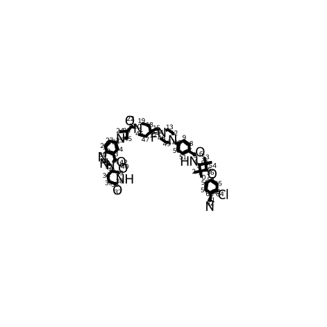 CC1(C)[C@H](NC(=O)c2ccc(N3CCN(CC4(F)CCN(C(=O)C5CN(c6ccc7nnn(C8CCC(=O)NC8=O)c(=O)c7c6)C5)CC4)CC3)cc2)C(C)(C)[C@H]1Oc1ccc(C#N)c(Cl)c1